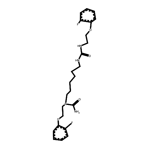 NC(=O)N(CCCCCCNC(=O)NCCOc1ccccc1F)CCOc1ccccc1F